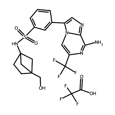 Nc1nc(C(F)(F)F)cn2c(-c3cccc(S(=O)(=O)NC45CCC(CO)(C4)C5)c3)cnc12.O=C(O)C(F)(F)F